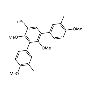 CCCc1[c]c(-c2ccc(OC)c(C)c2)c(OC)c(-c2ccc(OC)c(C)c2)c1OC